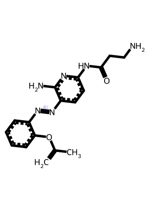 C=C(C)Oc1ccccc1/N=N/c1ccc(NC(=O)CCN)nc1N